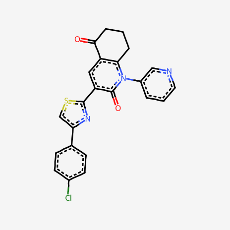 O=C1CCCc2c1cc(-c1nc(-c3ccc(Cl)cc3)cs1)c(=O)n2-c1cccnc1